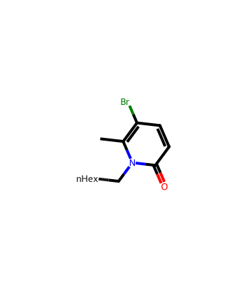 CCCCCCCn1c(C)c(Br)ccc1=O